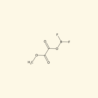 COC(=O)C(=O)OB(F)F